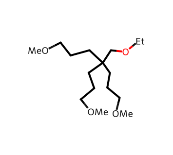 CCOCC(CCCOC)(CCCOC)CCCOC